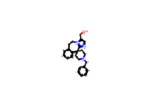 OCc1cnc2n1CCc1ccccc1C21CCN(Cc2ccccc2)CC1